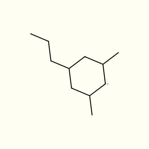 CCCC1CC(C)[CH]C(C)C1